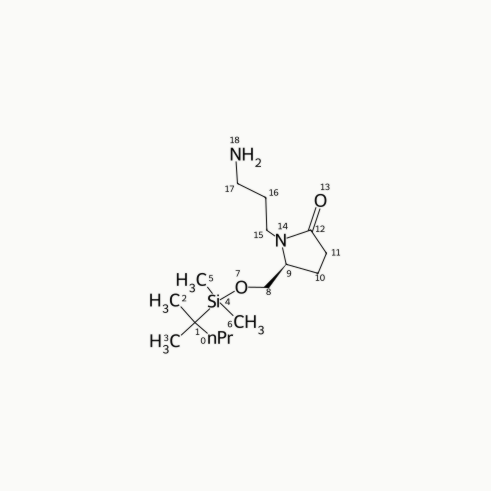 CCCC(C)(C)[Si](C)(C)OC[C@@H]1CCC(=O)N1CCCN